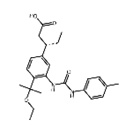 CCOC(C)(C)c1ccc([C@@H](CC)CC(=O)O)cc1NC(=O)Nc1ccc(C)cc1